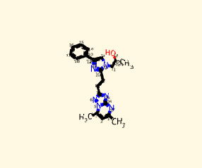 Cc1cc(C)n2nc(CCc3nc(-c4ccccc4)cn3C[C@@H](C)O)nc2n1